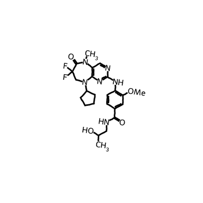 COc1cc(C(=O)NCC(C)O)ccc1Nc1ncc2c(n1)N(C1CCCC1)CC(F)(F)C(=O)N2C